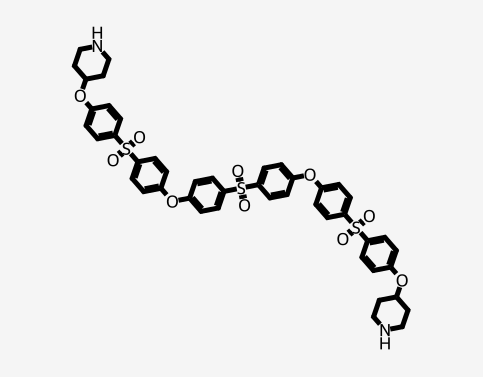 O=S(=O)(c1ccc(Oc2ccc(S(=O)(=O)c3ccc(OC4CCNCC4)cc3)cc2)cc1)c1ccc(Oc2ccc(S(=O)(=O)c3ccc(OC4CCNCC4)cc3)cc2)cc1